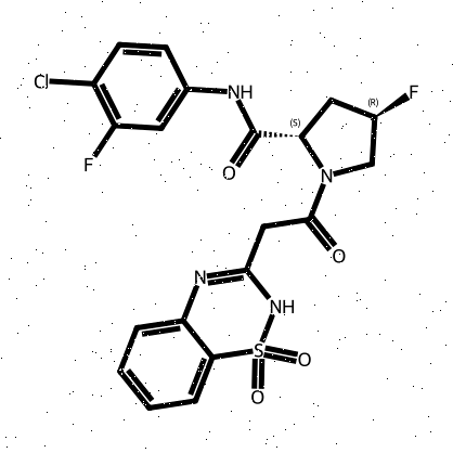 O=C(Nc1ccc(Cl)c(F)c1)[C@@H]1C[C@@H](F)CN1C(=O)CC1=Nc2ccccc2S(=O)(=O)N1